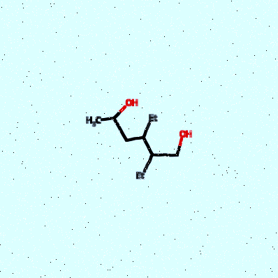 CCC(CO)C(CC)CC(C)O